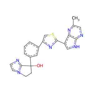 Cc1cnc2[nH]cc(-c3nc(-c4cccc(C5(O)CCn6ccnc65)c4)cs3)c2n1